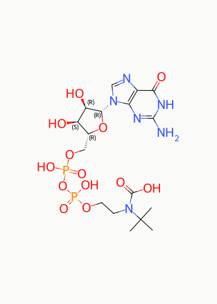 CC(C)(C)N(CCOP(=O)(O)OP(=O)(O)OC[C@H]1O[C@@H](n2cnc3c(=O)[nH]c(N)nc32)[C@H](O)[C@@H]1O)C(=O)O